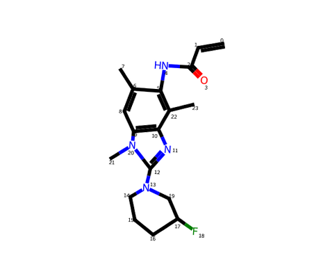 C=CC(=O)Nc1c(C)cc2c(nc(N3CCCC(F)C3)n2C)c1C